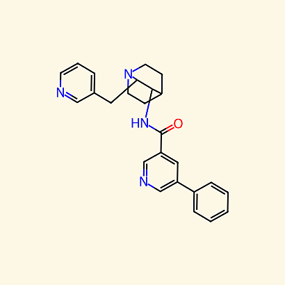 O=C(NC1C2CCN(CC2)C1Cc1cccnc1)c1cncc(-c2ccccc2)c1